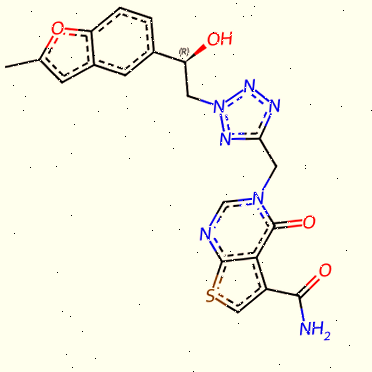 Cc1cc2cc([C@@H](O)Cn3nnc(Cn4cnc5scc(C(N)=O)c5c4=O)n3)ccc2o1